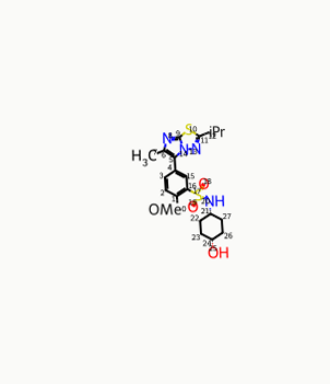 COc1ccc(-c2c(C)nc3sc(C(C)C)nn23)cc1S(=O)(=O)N[C@H]1CC[C@@H](O)CC1